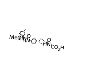 COc1ccc(C)cc1NC(=O)Nc1ccc([C@H]2CC[C@H](C(=O)NCC(=O)O)CC2)cc1